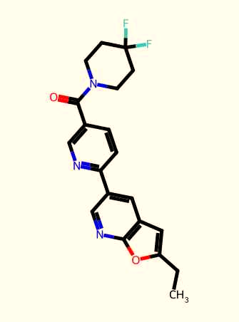 CCc1cc2cc(-c3ccc(C(=O)N4CCC(F)(F)CC4)cn3)cnc2o1